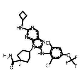 C[C@]1(C(N)=O)CC[C@@H](n2c(Nc3c(Cl)cc(OC(F)(F)F)cc3Cl)nc3cnc(NC4CCC4)nc32)CC1